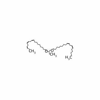 CC/C=C\C/C=C\C/C=C\CCCCCCCCOC(CC)COCCCCCCCC/C=C\C/C=C\CCCCC